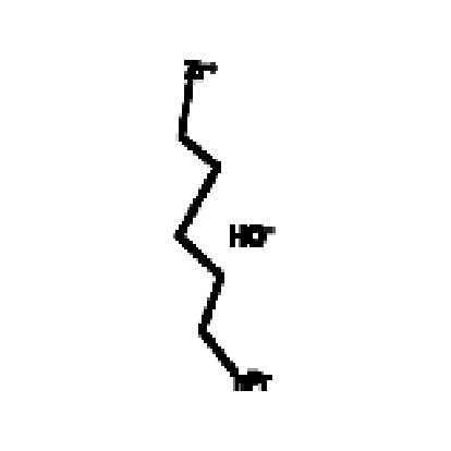 CCCCCCC[CH2][Zr+].[OH-]